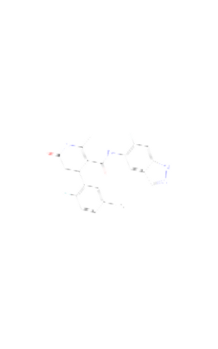 CC1=C(C(=O)Nc2cc3cn[nH]c3cc2F)C(c2cc(C#N)ccc2F)CC(=O)N1